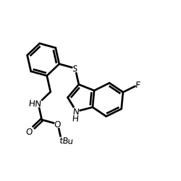 CC(C)(C)OC(=O)NCc1ccccc1Sc1c[nH]c2ccc(F)cc12